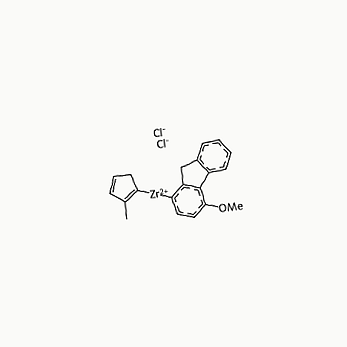 COc1cc[c]([Zr+2][C]2=C(C)C=CC2)c2c1-c1ccccc1C2.[Cl-].[Cl-]